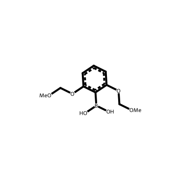 COCOc1cccc(OCOC)c1B(O)O